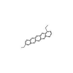 CCc1ccc2cc3cc4cc5c(CC)cccc5cc4cc3cc2c1